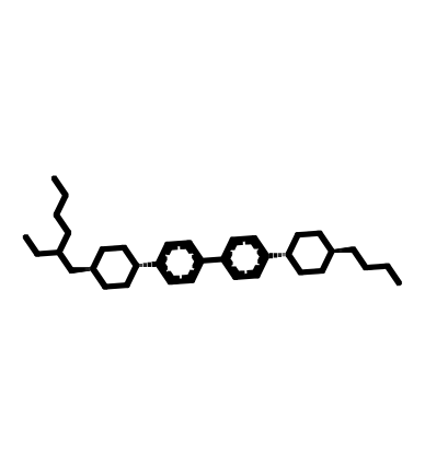 CCCCC(CC)C[C@H]1CC[C@H](c2ccc(-c3ccc([C@H]4CC[C@H](CCCC)CC4)cc3)cc2)CC1